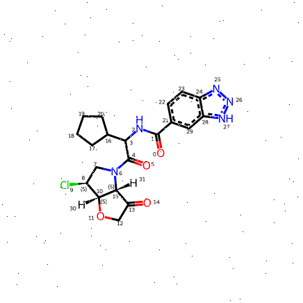 O=C(NC(C(=O)N1C[C@H](Cl)[C@H]2OCC(=O)[C@H]21)C1CCCC1)c1ccc2nn[nH]c2c1